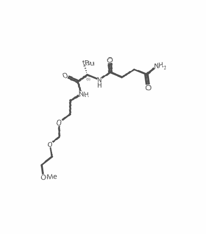 COCCOCOCCNC(=O)[C@@H](NC(=O)CCC(N)=O)C(C)(C)C